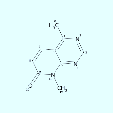 Cc1ncnc2c1ccc(=O)n2C